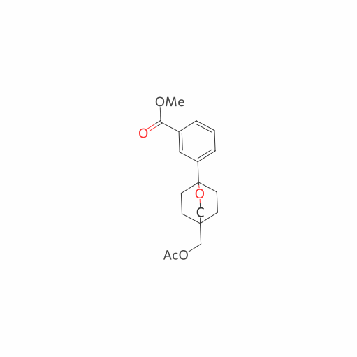 COC(=O)c1cccc(C23CCC(COC(C)=O)(CC2)CO3)c1